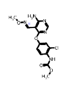 CO/N=C/c1c(N)ncnc1Oc1ccc(NC(=O)OC)c(Cl)c1